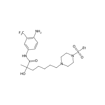 CCS(=O)(=O)N1CCN(CCCCCC(C)(O)C(=O)Nc2ccc(N)c(C(F)(F)F)c2)CC1